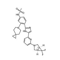 CS(=O)(=O)Nc1ccc(-c2ncc(-c3cccc(N4C[C@@H]5[C@H](C4)C5(F)F)n3)[nH]2)c(N2CCC3(CC2)CC3)c1